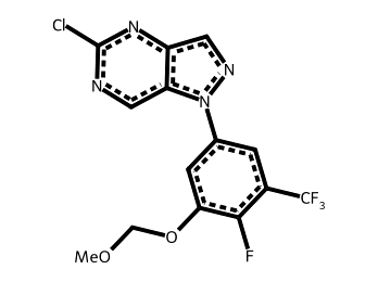 COCOc1cc(-n2ncc3nc(Cl)ncc32)cc(C(F)(F)F)c1F